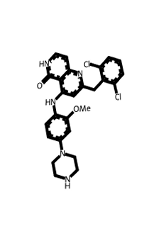 COc1cc(N2CCNCC2)ccc1Nc1cc(Cc2c(Cl)cccc2Cl)nc2cc[nH]c(=O)c12